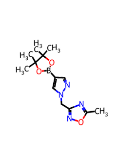 Cc1nc(Cn2cc(B3OC(C)(C)C(C)(C)O3)cn2)no1